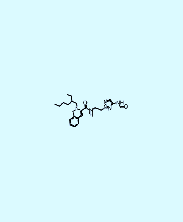 CCCCC(CC)CN1Cc2ccccc2C=C1C(=O)NCCn1ncc(NC=O)n1